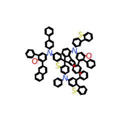 c1ccc(-c2ccc(N(c3ccc4c(c3)Sc3cc(N(c5ccccc5)c5cc(-c6ccccc6)c6c(c5)sc5ccccc56)ccc3C43c4ccccc4-c4c(N(c5cc(-c6ccccc6)c6c(c5)oc5ccccc56)c5ccc6sc7ccccc7c6c5)cccc43)c3cc(-c4ccc5ccccc5c4)c4oc5ccccc5c4c3)cc2)cc1